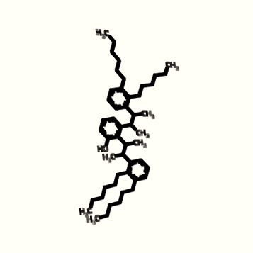 CCCCCCc1cccc(C(C)C(C)c2cccc(O)c2C(C)C(C)c2cccc(CCCCCC)c2CCCCCC)c1CCCCCC